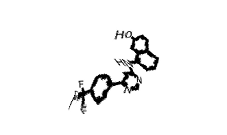 Oc1ccc2cccc(Nc3cc(-c4ccc(C(F)(F)F)cc4)ncn3)c2c1